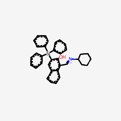 Oc1c([Si](c2ccccc2)(c2ccccc2)c2ccccc2)cc2ccccc2c1/C=N/C1CCCCC1